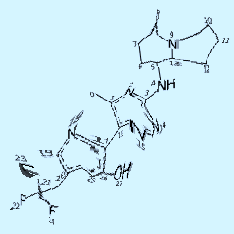 Cc1nc(NC2CCCN3CCCC23)nnc1-c1ncc(C(F)(F)F)cc1O